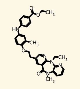 CCOC(=O)c1ccc(Nc2ccc(OCCc3cnc4c(c3)C(=O)N(C)c3cccnc3N4CC)c(C)c2)cc1